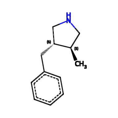 C[C@@H]1CNC[C@H]1Cc1ccccc1